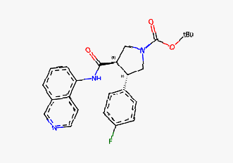 CC(C)(C)OC(=O)N1C[C@H](C(=O)Nc2cccc3cnccc23)[C@@H](c2ccc(F)cc2)C1